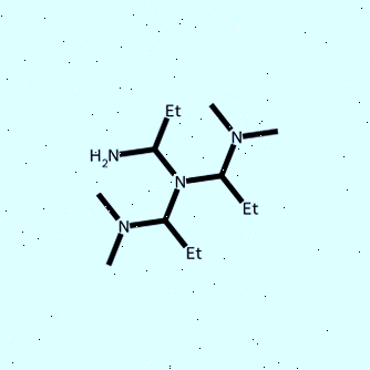 CCC(N)N(C(CC)N(C)C)C(CC)N(C)C